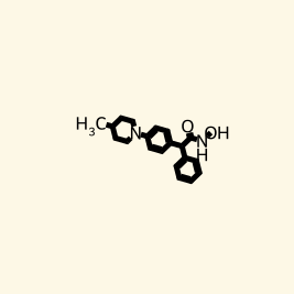 CC1CCN(c2ccc(C(C(=O)NO)c3ccccc3)cc2)CC1